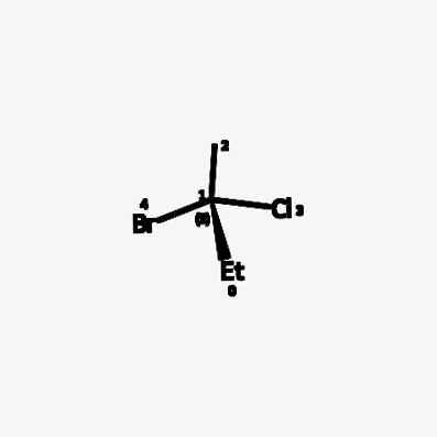 CC[C@@](C)(Cl)Br